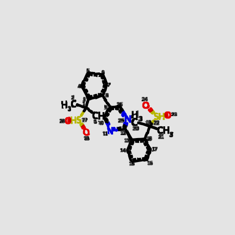 CC(C)(c1ccccc1-c1cnc(-c2ccccc2C(C)(C)[SH](=O)=O)nc1)[SH](=O)=O